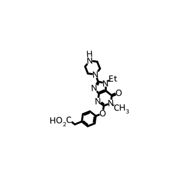 CCn1c(N2CCNCC2)nc2nc(Oc3ccc(CC(=O)O)cc3)n(C)c(=O)c21